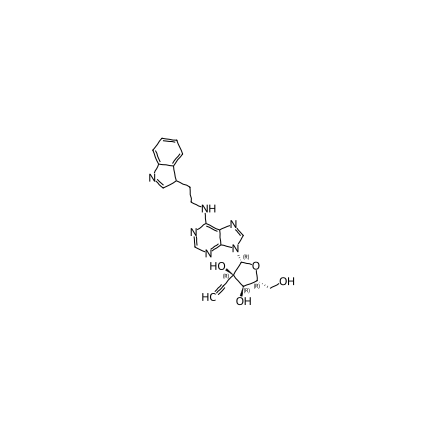 C#C[C@@]1(O)[C@H](O)[C@@H](CO)O[C@H]1n1cnc2c(NCCC3C=Nc4ccccc43)ncnc21